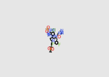 Cn1nc(NS(C)(=O)=O)c2c(Cl)ccc(-c3ccc(C#CC(C)(C)S(=O)(=O)C4CC4)nc3[C@H](Cc3cc(F)cc(F)c3)NC(=O)Cn3cnnc3)c21